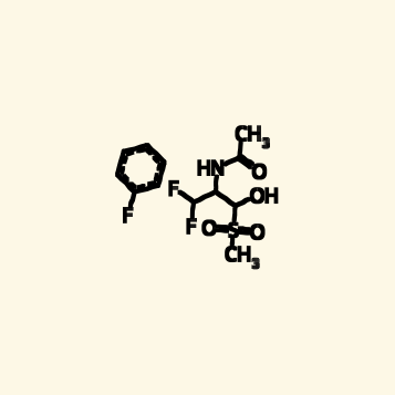 CC(=O)NC(C(F)F)C(O)S(C)(=O)=O.Fc1ccccc1